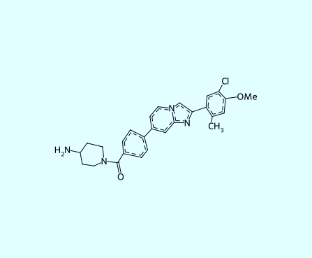 COc1cc(C)c(-c2cn3ccc(-c4ccc(C(=O)N5CCC(N)CC5)cc4)cc3n2)cc1Cl